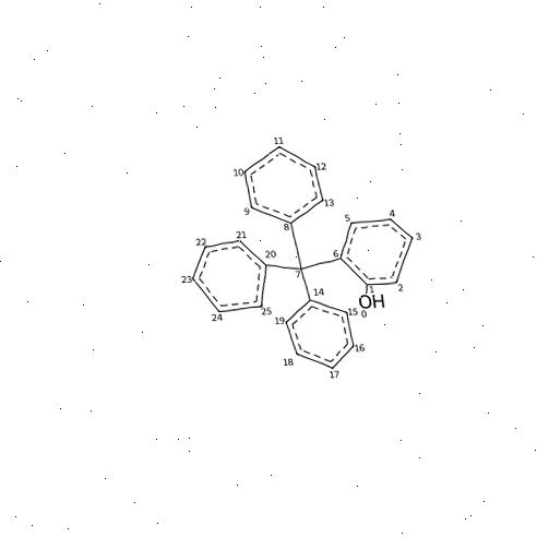 Oc1ccccc1C(c1ccccc1)(c1ccccc1)c1ccccc1